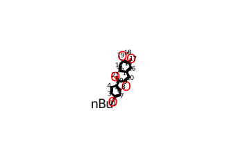 CCCCOc1ccc2c(c1)O/C(=C/c1ccc3c(c1)OCO3)C2=O